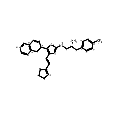 N[C@H](CNc1nc(C=CC2=CCCC2)c(C2C=Cc3cnccc3C2)s1)Cc1ccc(C(F)(F)F)cc1